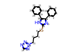 c1ccc(-c2nc(SCCCCn3ncnn3)[nH]c2-c2ccccc2)cc1